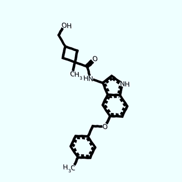 Cc1ccc(COc2ccc3[nH]cc(NC(=O)C4(C)CC(CO)C4)c3c2)cc1